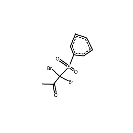 CC(=O)C(Br)(Br)S(=O)(=O)c1ccccc1